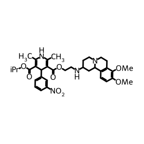 COc1ccc2c(c1OC)CCN1CCC(NCCOC(=O)C3=C(C)NC(C)=C(C(=O)OC(C)C)C3c3cccc([N+](=O)[O-])c3)CC21